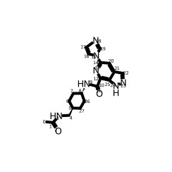 CC(=O)NC[C@H]1CC[C@H](NC(=O)c2nc(-n3ccnc3)cc3cn[nH]c23)CC1